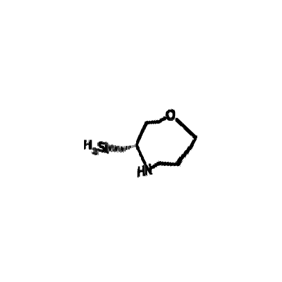 [SiH3][C@@H]1COCCN1